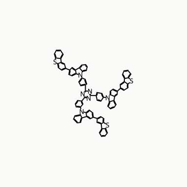 c1cc(-c2nc(-c3ccc(-n4c5ccccc5c5cc(-c6ccc7sc8ccccc8c7c6)ccc54)cc3)nc(-c3ccc(-n4c5ccccc5c5cc(-c6ccc7sc8ccccc8c7c6)ccc54)cc3)n2)cc(-n2c3ccccc3c3cc(-c4ccc5sc6ccccc6c5c4)ccc32)c1